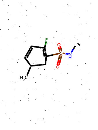 CC1C=CC(F)=C(S(=O)(=O)NC(C)C)C1